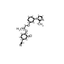 Cc1nccn1-c1cccc(OC[C@H](C)Oc2ccc(C#N)cc2Cl)c1